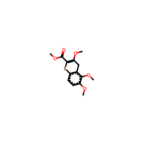 COC(=O)C1=C(OC)Cc2c(ccc(OC)c2OC)S1